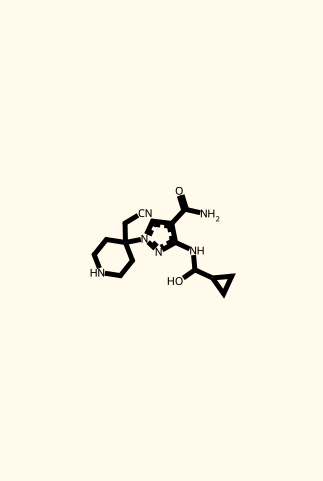 N#CCC1(n2cc(C(N)=O)c(NC(O)C3CC3)n2)CCNCC1